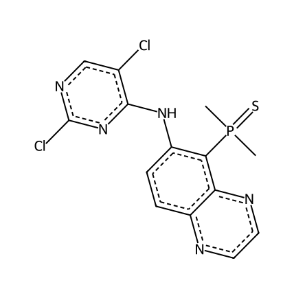 CP(C)(=S)c1c(Nc2nc(Cl)ncc2Cl)ccc2nccnc12